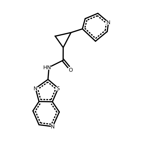 O=C(Nc1nc2ccncc2s1)C1CC1c1ccncc1